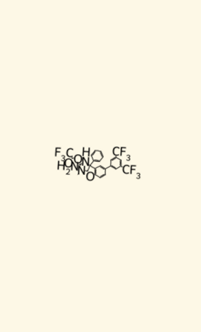 CN1C(=O)C(c2ccccc2)(c2cccc(-c3cc(C(F)(F)F)cc(C(F)(F)F)c3)c2)NC1(N)OC(=O)C(F)(F)F